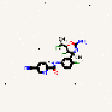 C[C@H](F)[C@H]1OC(N)=N[C@](C)(c2cc(NC(=O)c3ccc(C#N)cn3)ccc2F)[C@H]1F